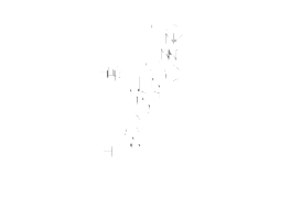 Cc1ccc(-c2ccn3c(C(=O)Nc4cccc5c4c(C)nn5Cc4cccc(C)n4)cnc3c2)cn1.Cl.Cl